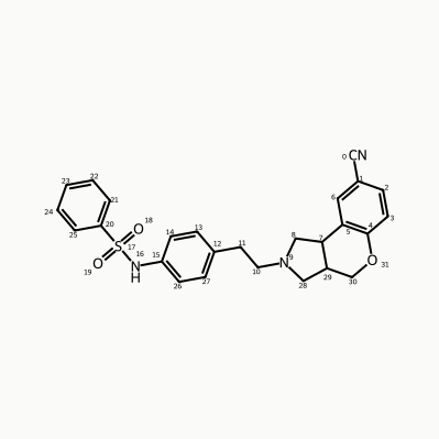 N#Cc1ccc2c(c1)C1CN(CCc3ccc(NS(=O)(=O)c4ccccc4)cc3)CC1CO2